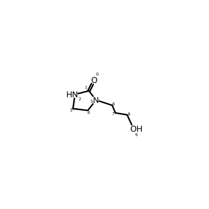 O=C1NCCN1CCCO